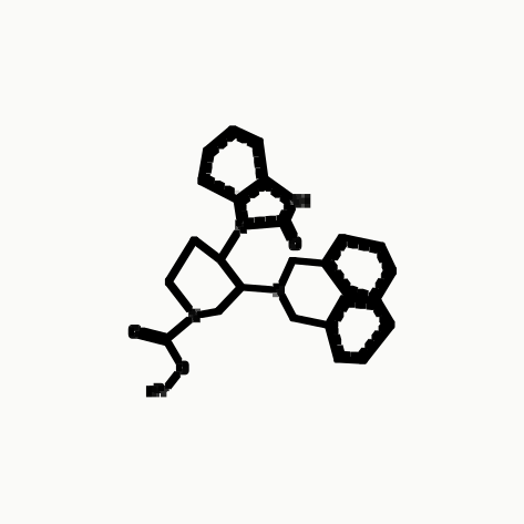 CCCOC(=O)N1CCC(n2c(=O)[nH]c3ccccc32)C(N(Cc2ccccc2)Cc2ccccc2)C1